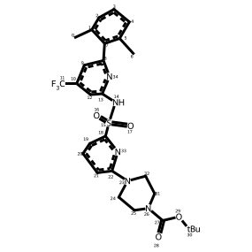 Cc1cccc(C)c1-c1cc(C(F)(F)F)cc(NS(=O)(=O)c2cccc(N3CCN(C(=O)OC(C)(C)C)CC3)n2)n1